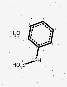 O.O=S(=O)(O)Bc1ccccc1